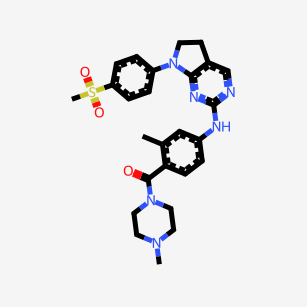 Cc1cc(Nc2ncc3c(n2)N(c2ccc(S(C)(=O)=O)cc2)CC3)ccc1C(=O)N1CCN(C)CC1